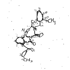 COC(=O)c1cccc2[nH]n(C(=O)N(Cc3ccccc3C)C(C)C)c(=O)c12